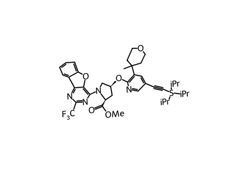 COC(=O)[C@@H]1C[C@H](Oc2ncc(C#CS(C(C)C)(C(C)C)C(C)C)cc2C2(C)CCOCC2)CN1c1nc(C(F)(F)F)nc2c1oc1ccccc12